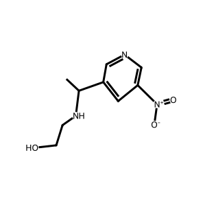 CC(NCCO)c1cncc([N+](=O)[O-])c1